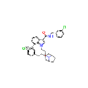 COc1cccc2c(C(=O)NCc3cccc(Cl)c3)cn(CCCN3C4CCC3CC(CCc3ccc(Cl)cc3)C4)c12